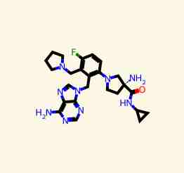 Nc1ncnc2c1ncn2Cc1c(N2CC[C@](N)(C(=O)NC3CC3)C2)ccc(F)c1CN1CCCC1